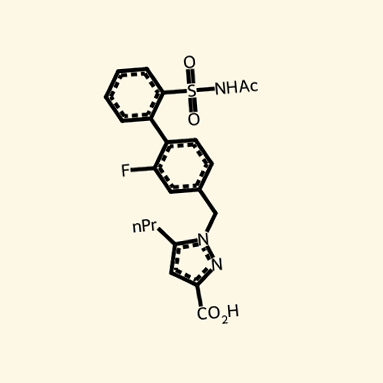 CCCc1cc(C(=O)O)nn1Cc1ccc(-c2ccccc2S(=O)(=O)NC(C)=O)c(F)c1